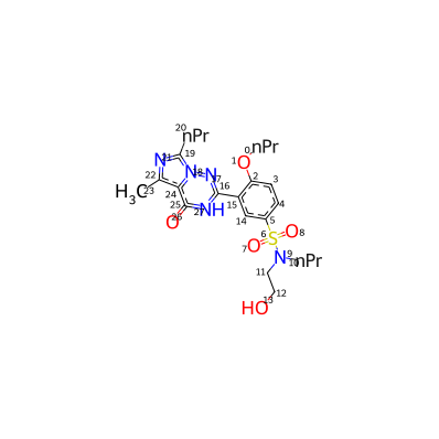 CCCOc1ccc(S(=O)(=O)N(CCC)CCO)cc1-c1nn2c(CCC)nc(C)c2c(=O)[nH]1